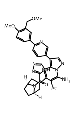 COCc1cc(-c2ccc(-c3cnn4c(N)c(C(C)=O)c([C@H]5C[C@H]6CC[C@@H](C5)N6C(=O)c5nnc[nH]5)nc34)cn2)ccc1OC